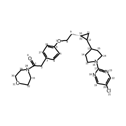 O=C(Cc1ccc(OCC[C@@H]2CC2C2CCN(c3ncc(Cl)cn3)CC2)cc1)N1CCOCC1